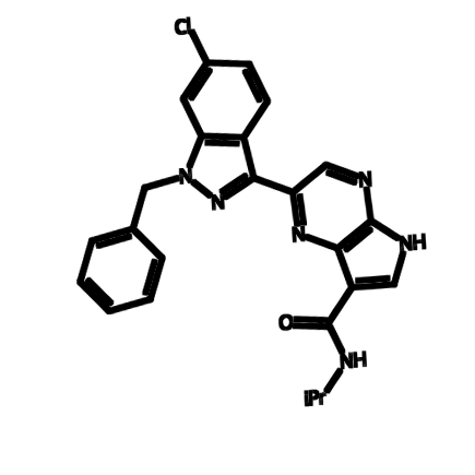 CC(C)NC(=O)c1c[nH]c2ncc(-c3nn(Cc4ccccc4)c4cc(Cl)ccc34)nc12